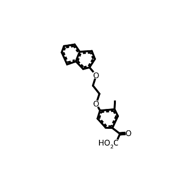 Cc1cc(C(=O)C(=O)O)ccc1OCCOc1ccc2ccccc2c1